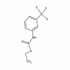 CCOC(=O)Nc1cccc(C(F)(F)F)c1